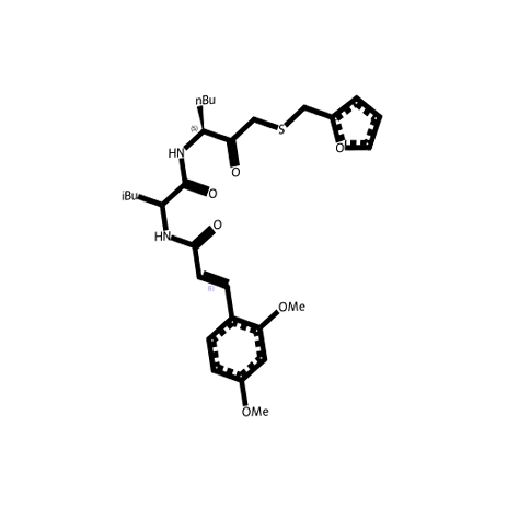 CCCC[C@H](NC(=O)C(NC(=O)/C=C/c1ccc(OC)cc1OC)C(C)CC)C(=O)CSCc1ccco1